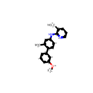 Cc1cc(Nc2ncccc2C(=O)O)ccc1-c1cccc(OC(F)(F)F)c1